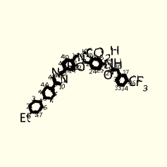 CC[C@H]1CC[C@H](C2CC=C(c3cnc(-c4ccc(CN(CC(=O)O)C(O)c5ccc(NC(=O)Cc6cccc(C(F)(F)F)c6)cc5)cc4)nc3)CC2)CC1